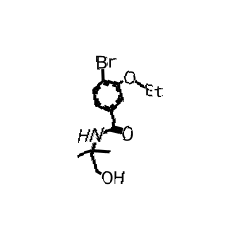 CCOc1cc(C(=O)NC(C)(C)CO)ccc1Br